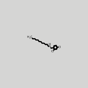 CCCCCCCCCCCCNCc1ccc(Cl)cc1Cl